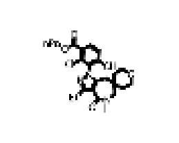 CCCOC(=O)c1ccc(C)c(-n2nc(CC)c3c2CC2(CCOCC2)CNC3=O)c1Cl